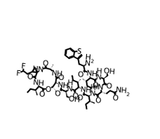 CC[C@H](C)[C@H](NC(=O)[C@H](N)Cc1csc2ccccc12)C(=O)N[C@@H](CO)C(=O)N[C@H](CCC(N)=O)C(=O)N[C@@H](C(=O)N[C@H](C(=O)N[C@@H](CO)C(=O)N[C@H]1C(=O)N[C@@H](C)C(=O)NC2(CC2CC(F)F)C(=O)N[C@@H]([C@@H](C)CC)C(=O)O[C@H]1C)[C@@H](C)CC)[C@@H](C)CC